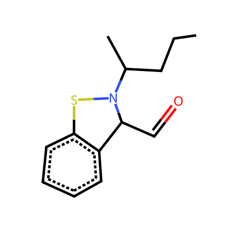 CCCC(C)N1Sc2ccccc2C1C=O